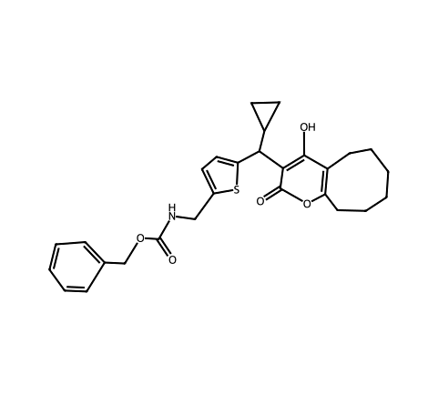 O=C(NCc1ccc(C(c2c(O)c3c(oc2=O)CCCCCC3)C2CC2)s1)OCc1ccccc1